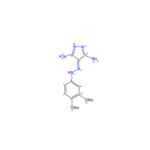 COc1ccc(NN=C2C(N)=NN=C2N)cc1OC